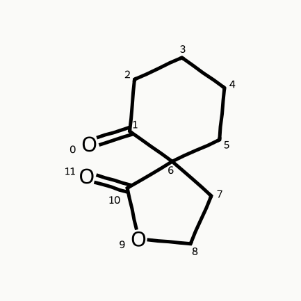 O=C1CCCCC12CCOC2=O